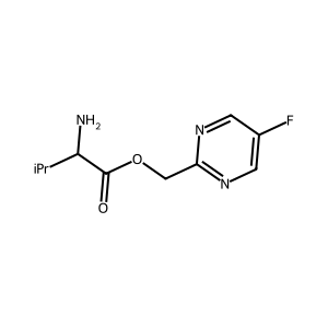 CC(C)C(N)C(=O)OCc1ncc(F)cn1